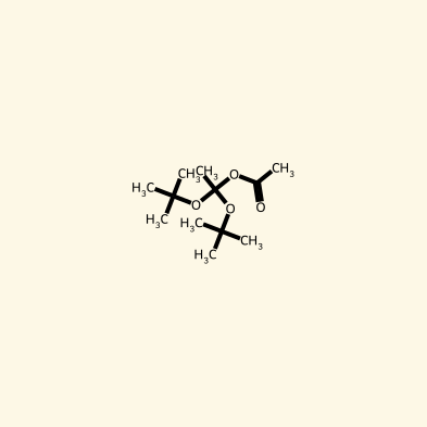 CC(=O)OC(C)(OC(C)(C)C)OC(C)(C)C